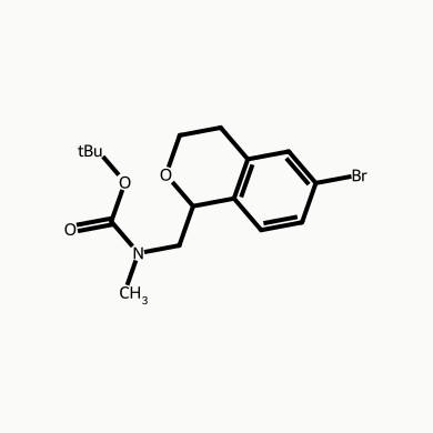 CN(CC1OCCc2cc(Br)ccc21)C(=O)OC(C)(C)C